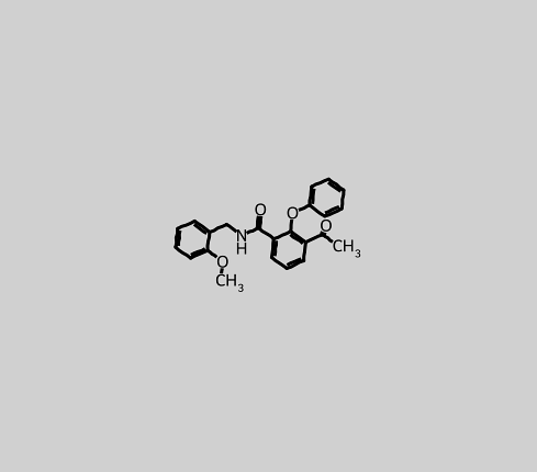 COc1ccccc1CNC(=O)c1cccc(C(C)=O)c1Oc1ccccc1